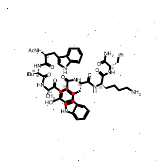 CC[C@H](C)[C@H](NC(=O)[C@H](Cc1c[nH]c2ccccc12)NC(C)=O)C(=O)N[C@@H](C)C(=O)N[C@@H](Cc1c[nH]c2ccccc12)C(=O)N[C@@H](Cc1ccc(O)cc1)C(=O)N[C@@H](CCCCN)C(=O)N[C@@H](CC(C)C)C(N)=O